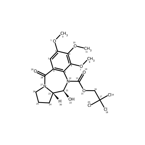 COc1cc2c(c(OC)c1OC)N(C(=O)OCC(Cl)(Cl)Cl)[C@@H](O)[C@@H]1CCCN1C2=O